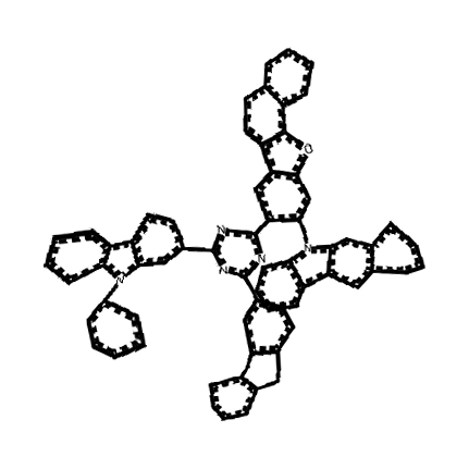 c1ccc(-n2c3ccccc3c3ccc(-c4nc(-c5ccc6c(c5)-c5ccccc5C6)nc(-c5cc6c(cc5-n5c7ccccc7c7cc8ccccc8cc75)oc5c7ccccc7ccc65)n4)cc32)cc1